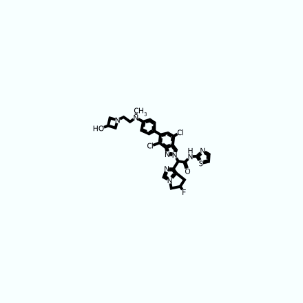 CN(CCN1CC(O)C1)c1ccc(-c2cc(Cl)c3cn(C(C(=O)Nc4nccs4)c4ncn5c4CC(F)C5)nc3c2Cl)cc1